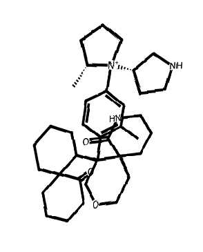 Cc1cc([N+]2([C@H]3CCNC3)CCC[C@H]2C)ccc1C1(C2CCCCC23CCCCC3=O)COCCC12CCCNC2=O